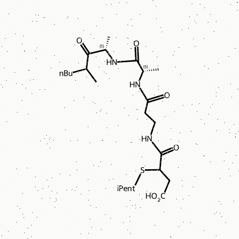 CCCCC(C)C(=O)[C@H](C)NC(=O)[C@H](C)NC(=O)CCNC(=O)C(CC(=O)O)SC(C)CCC